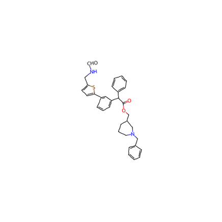 O=CNCc1ccc(-c2cccc(C(C(=O)OCC3CCCN(Cc4ccccc4)C3)c3ccccc3)c2)s1